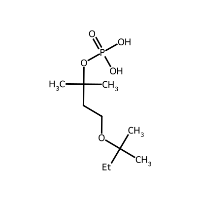 CCC(C)(C)OCCC(C)(C)OP(=O)(O)O